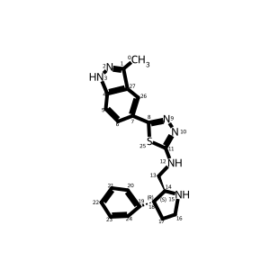 Cc1n[nH]c2ccc(-c3nnc(NC[C@H]4NCC[C@@H]4c4ccccc4)s3)cc12